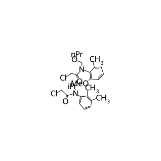 CCCOCN(C(=O)CCl)c1c(C)cccc1OC.Cc1cccc(N(C(=O)CCl)C(C)C)c1C